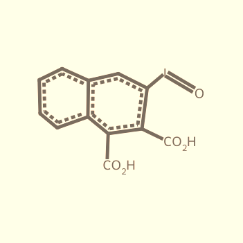 O=Ic1cc2ccccc2c(C(=O)O)c1C(=O)O